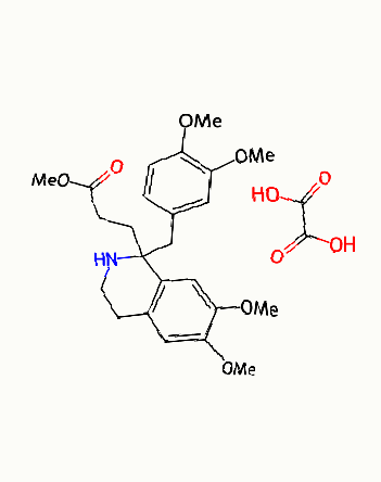 COC(=O)CCC1(Cc2ccc(OC)c(OC)c2)NCCc2cc(OC)c(OC)cc21.O=C(O)C(=O)O